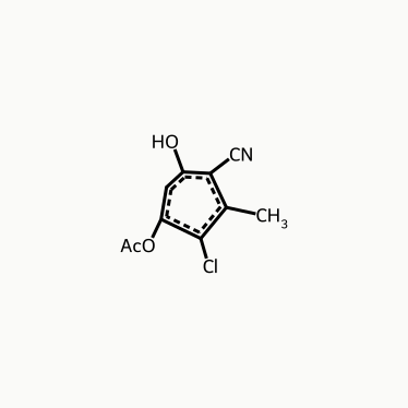 CC(=O)Oc1cc(O)c(C#N)c(C)c1Cl